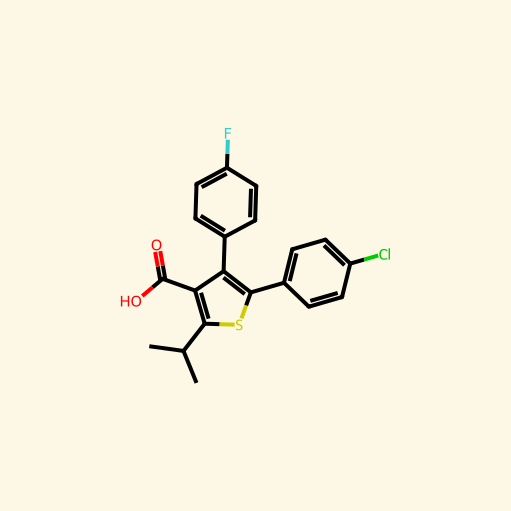 CC(C)c1sc(-c2ccc(Cl)cc2)c(-c2ccc(F)cc2)c1C(=O)O